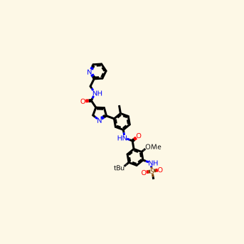 COc1c(NS(C)(=O)=O)cc(C(C)(C)C)cc1C(=O)Nc1ccc(C)c(C2=NCC(C(=O)NCc3ccccn3)=C2)c1